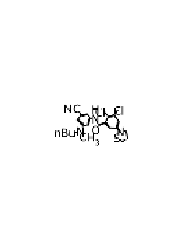 CCCCN(C)c1cc(C#N)cc(NC(=O)c2cc(N3CCCS3)cc(Cl)c2Cl)c1